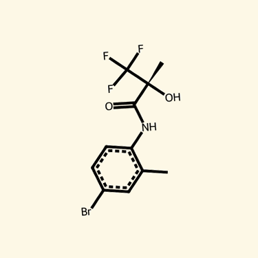 Cc1cc(Br)ccc1NC(=O)[C@@](C)(O)C(F)(F)F